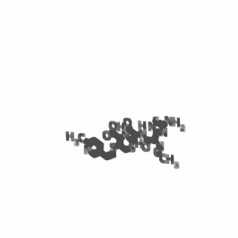 CO/N=C(\C(=O)NC1C(=O)N2C(C(=O)O)=C(S/C=C\c3ccc(C)nc3)CS[C@H]12)c1nsc(N)n1